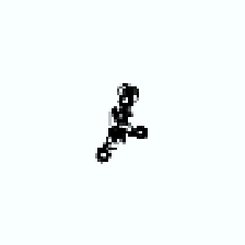 Cc1cc(-c2ccc(OCc3ccccc3)nc2OCc2ccccc2)nc(C)c1N1CCC2(CC1)OCCO2